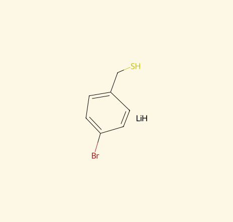 SCc1ccc(Br)cc1.[LiH]